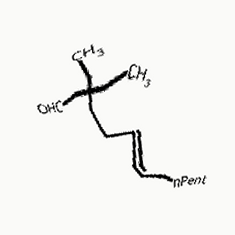 CCCCCC=CCC(C)(C)C=O